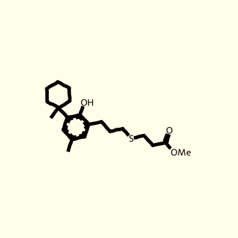 COC(=O)CCSCCCc1cc(C)cc(C2(C)CCCCC2)c1O